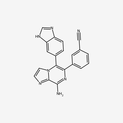 N#Cc1cccc(-c2nc(N)c3nccn3c2-c2ccc3nc[nH]c3c2)c1